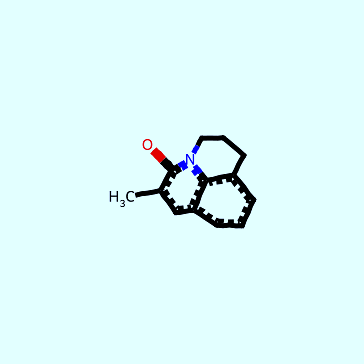 Cc1cc2cccc3c2n(c1=O)CCC3